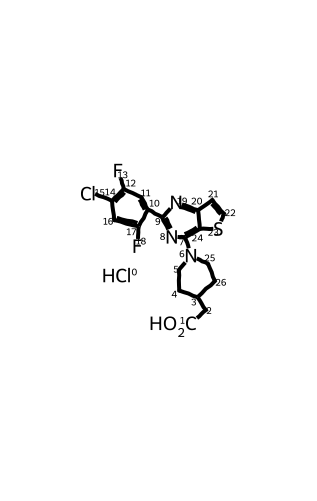 Cl.O=C(O)CC1CCN(c2nc(-c3cc(F)c(Cl)cc3F)nc3ccsc23)CC1